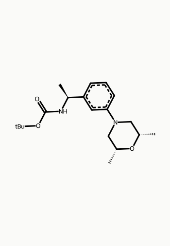 C[C@@H]1CN(c2cccc([C@H](C)NC(=O)OC(C)(C)C)c2)C[C@H](C)O1